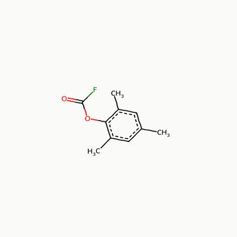 Cc1cc(C)c(OC(=O)F)c(C)c1